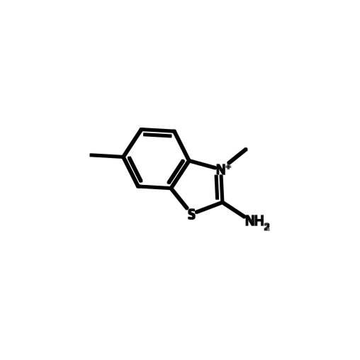 Cc1ccc2c(c1)sc(N)[n+]2C